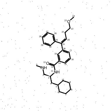 CNC[C@H](CC1CCCCC1)NC(=O)c1cccc(C(=CCCOC)c2ccccc2)c1